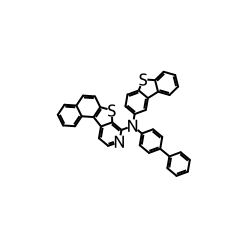 c1ccc(-c2ccc(N(c3ccc4sc5ccccc5c4c3)c3nccc4c3sc3ccc5ccccc5c34)cc2)cc1